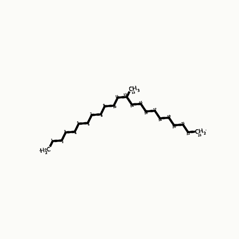 [CH2]CCCCCCCCCCCC(C)CCCCCCCCC[CH2]